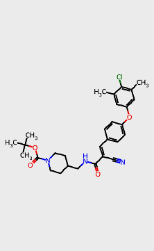 Cc1cc(Oc2ccc(/C=C(\C#N)C(=O)NCC3CCN(C(=O)OC(C)(C)C)CC3)cc2)cc(C)c1Cl